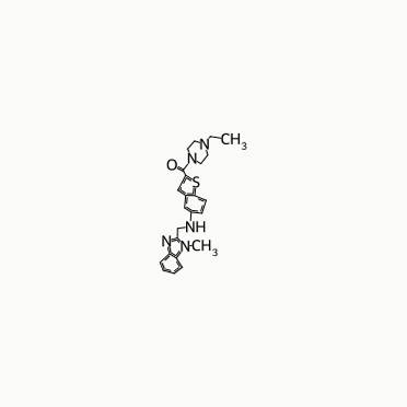 CCN1CCN(C(=O)c2cc3cc(NCc4nc5ccccc5n4C)ccc3s2)CC1